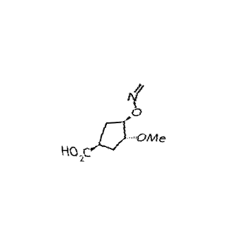 C=NO[C@@H]1C[C@H](C(=O)O)C[C@H]1OC